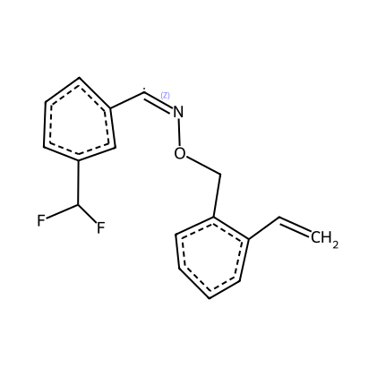 C=Cc1ccccc1CO/N=[C]\c1cccc(C(F)F)c1